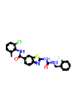 Cc1cccc(Cl)c1NC(=O)c1ccc2nc(NC(=O)NCc3ccccc3F)sc2c1